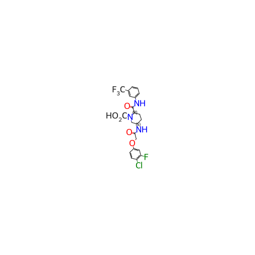 O=C(COc1ccc(Cl)c(F)c1)N[C@H]1CC[C@H](C(=O)Nc2cccc(C(F)(F)F)c2)N(C(=O)O)C1